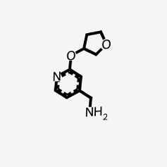 NCc1ccnc(OC2CCOC2)c1